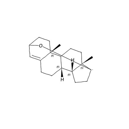 C[C@]12CCC3C=C1CC[C@@H]1C2CC[C@]2(C)[C](CC[C@H]12)O3